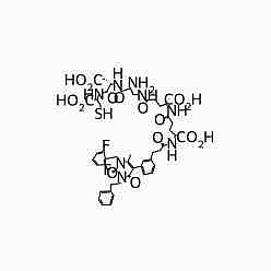 Cc1c(-c2cccc(CCC(=O)N[C@@H](CCC(=O)N[C@H](CCC(=O)NC[C@H](N)C(=O)N[C@@H](CC(=O)O)C(=O)N[C@@H](CS)C(=O)O)C(=O)O)C(=O)O)c2)c(=O)n(CCc2ccccc2)c(=O)n1Cc1c(F)cccc1F